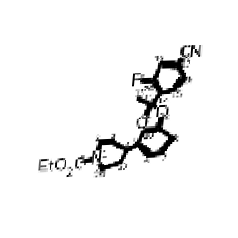 CCOC(=O)N1CCC(c2cccc3c2OC(C)(c2ccc(C#N)cc2F)O3)CC1